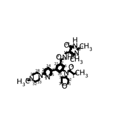 CCC(=O)N(c1cc(C(=O)NCc2c(C)nc(C)[nH]c2=O)cc(-c2ccc(N3CCN(C)CC3)nc2)c1)C1CCOCC1